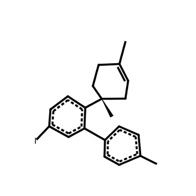 CC1=CC[C@](C)(c2ccc(I)cc2-c2ccc(C)cc2)CC1